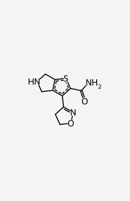 NC(=O)c1sc2c(c1C1=NOCC1)CNC2